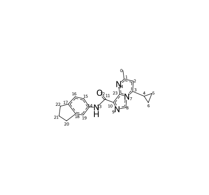 Cc1cc(C2CC2)n2cnc(C(=O)Nc3ccc4c(c3)CCC4)c2n1